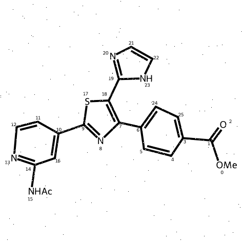 COC(=O)c1ccc(-c2nc(-c3ccnc(NC(C)=O)c3)sc2-c2ncc[nH]2)cc1